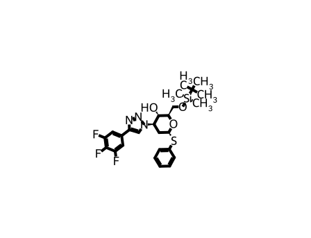 CC(C)(C)[Si](C)(C)OC[C@H]1O[C@H](Sc2ccccc2)C[C@@H](n2cc(-c3cc(F)c(F)c(F)c3)nn2)[C@@H]1O